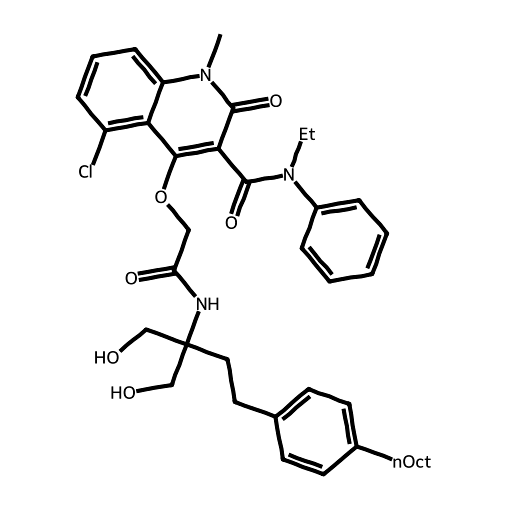 CCCCCCCCc1ccc(CCC(CO)(CO)NC(=O)COc2c(C(=O)N(CC)c3ccccc3)c(=O)n(C)c3cccc(Cl)c23)cc1